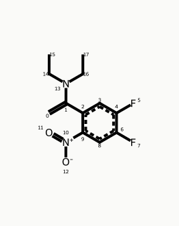 C=C(c1cc(F)c(F)cc1[N+](=O)[O-])N(CC)CC